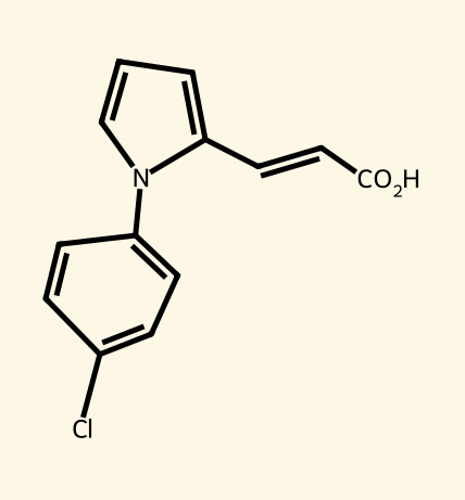 O=C(O)C=Cc1cccn1-c1ccc(Cl)cc1